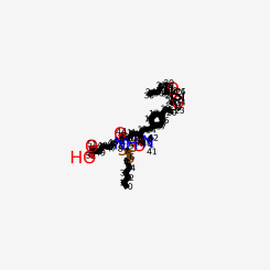 CCCCCCSC(=S)SC(CC(CCc1ccc(CC[Si](C)(C)O[Si](C)(C)O[Si](C)(C)CCCC)cc1)C(=O)N(C)C)C(=O)NCCCCC(=O)O